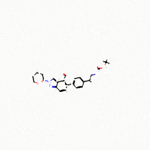 CC(CNC(=O)OC(C)(C)C)c1ccc(-c2ccc3nn(C4CCCCO4)cc3c2C=O)cc1